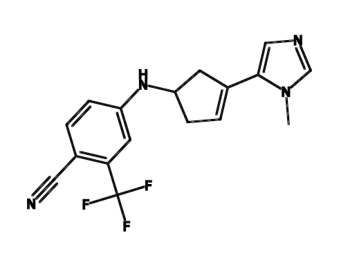 Cn1cncc1C1=CCC(Nc2ccc(C#N)c(C(F)(F)F)c2)C1